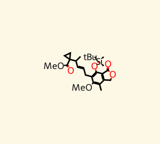 COC(=O)C1(C(C)C=CCc2c(OC)c(C)c3c(c2O[Si](C)(C)C(C)(C)C)C(=O)OC3)CC1